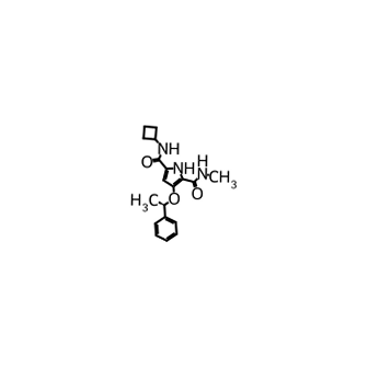 CNC(=O)c1[nH]c(C(=O)NC2CCC2)cc1O[C@H](C)c1ccccc1